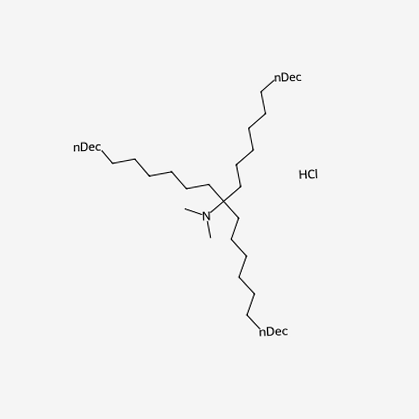 CCCCCCCCCCCCCCCCC(CCCCCCCCCCCCCCCC)(CCCCCCCCCCCCCCCC)N(C)C.Cl